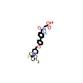 CC(C)(F)CN1CCC(COc2ccc(-c3ccc(C(=O)NCC(=O)O)cc3)cc2)CC1